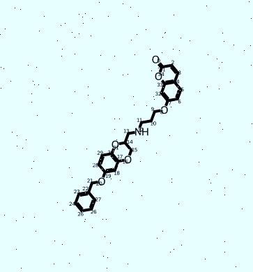 O=c1ccc2ccc(OCCCNCC3COc4cc(OCc5ccccc5)ccc4O3)cc2o1